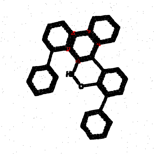 B(Oc1c(-c2ccccc2)cccc1-c1ccccc1)Oc1c(-c2ccccc2)cccc1-c1ccccc1